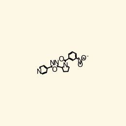 O=C(c1cccc([N+](=O)[O-])c1)N1CCCC1c1nnc(-c2ccncc2)o1